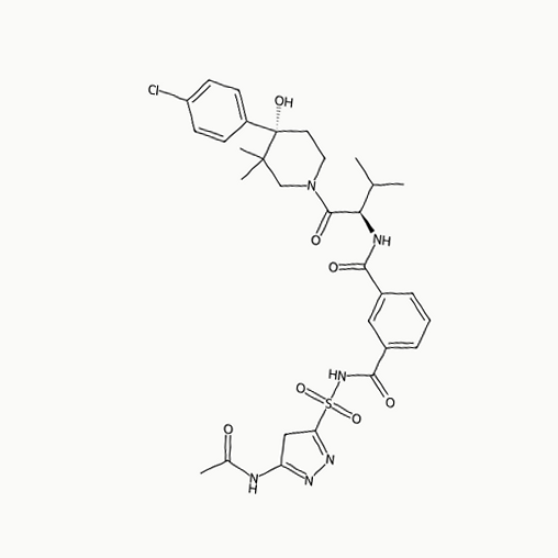 CC(=O)NC1=NN=C(S(=O)(=O)NC(=O)c2cccc(C(=O)N[C@@H](C(=O)N3CC[C@](O)(c4ccc(Cl)cc4)C(C)(C)C3)C(C)C)c2)C1